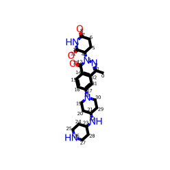 Cc1nn(C2CCC(=O)NC2=O)c(=O)c2ccc(N3CCC(NC4CCNCC4)CC3)cc12